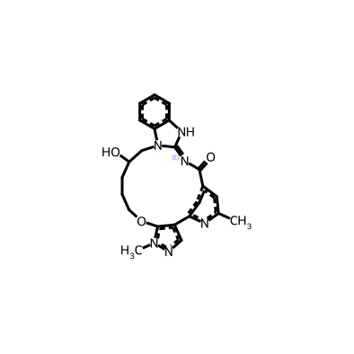 Cc1cc2cc(n1)-c1cnn(C)c1OCCCC(O)CN1/C(=N/C2=O)Nc2ccccc21